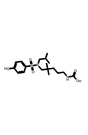 CC(C)CN(CC(C)(C)CCCNC(=O)O)S(=O)(=O)c1ccc(O)cc1